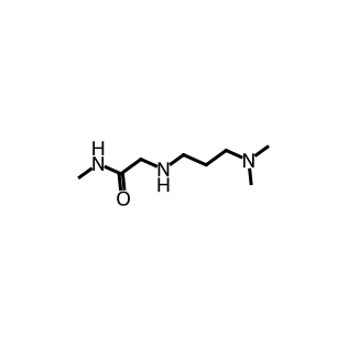 CNC(=O)CNCCCN(C)C